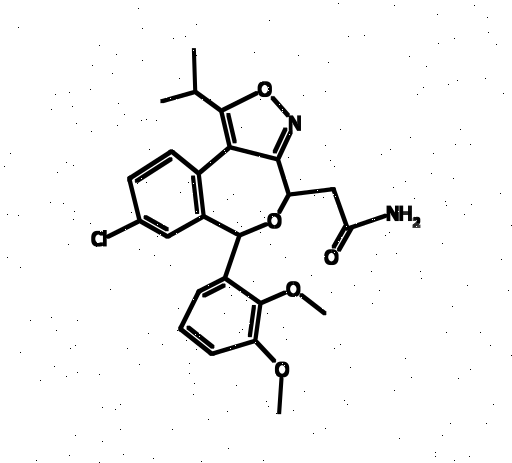 COc1cccc(C2OC(CC(N)=O)c3noc(C(C)C)c3-c3ccc(Cl)cc32)c1OC